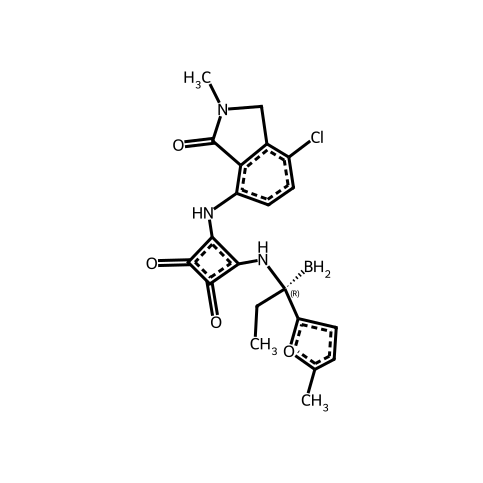 B[C@](CC)(Nc1c(Nc2ccc(Cl)c3c2C(=O)N(C)C3)c(=O)c1=O)c1ccc(C)o1